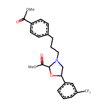 COC(=O)c1ccc(CCCN2CC(c3cccc(C(F)(F)F)c3)OC2C(=O)OC)cc1